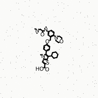 CN(C)CC(=O)N(C)c1ccc(N2CCOCC2)c(COc2ccc(-c3c(C4CCCCC4)c4sc(C(=O)O)cc4n3C)cc2)c1